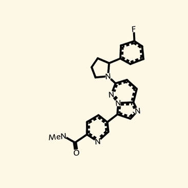 CNC(=O)c1ccc(-c2cnc3ccc(N4CCCC4c4cccc(F)c4)nn23)cn1